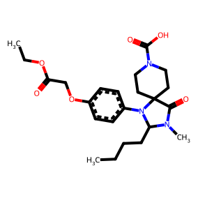 CCCCC1N(C)C(=O)C2(CCN(C(=O)O)CC2)N1c1ccc(OCC(=O)OCC)cc1